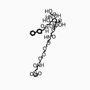 O=C(CCOCCO[C@]1(C(=O)O)C[C@H](O)[C@@H](NC(=O)CO)[C@H]([C@H](O)[C@H](O)CNC(=O)Cc2ccc(-c3ccccc3)cc2)O1)NCCOCCOCCOCCOCCNC(=O)CCN1C(=O)C=CC1=O